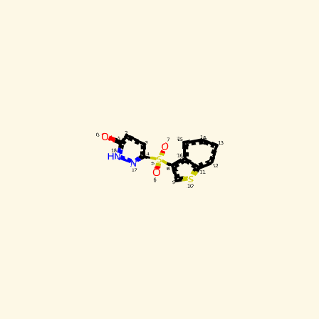 O=c1ccc(S(=O)(=O)c2csc3ccccc23)n[nH]1